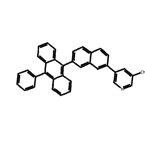 Cc1cncc(-c2ccc3ccc(-c4c5ccccc5c(-c5ccccc5)c5ccccc45)cc3c2)c1